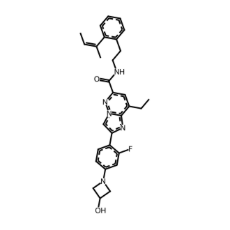 C/C=C(/C)c1ccccc1CCNC(=O)c1cc(CC)c2nc(-c3ccc(N4CC(O)C4)cc3F)cn2n1